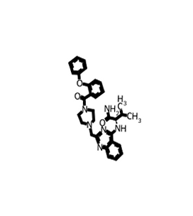 CC(C)[C@H](Nc1nc(CN2CCN(C(=O)c3ccccc3Oc3ccccc3)CC2)nc2ccccc12)C(N)=O